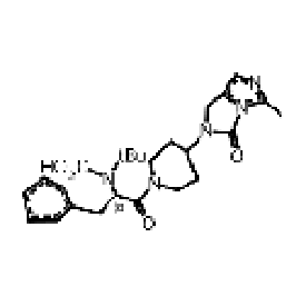 Cc1ncc2n1C(=O)N(C1CCN(C(=O)[C@@H](Cc3ccccc3)N(C(=O)O)C(C)(C)C)CC1)C2